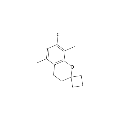 Cc1[c]c(Cl)c(C)c2c1CCC1(CCC1)O2